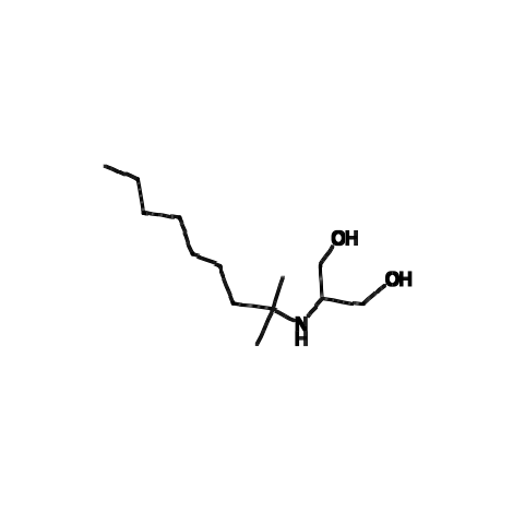 CCCCCCCC(C)(C)NC(CO)CO